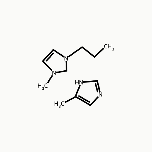 CCCN1C=CN(C)C1.Cc1cnc[nH]1